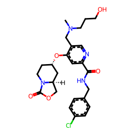 CN(CCCO)Cc1cnc(C(=O)NCc2ccc(Cl)cc2)cc1O[C@H]1CCN2C(=O)OC[C@@H]2C1